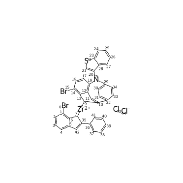 Brc1cccc2c1[CH]([Zr+2][CH]1c3cc4c1c(Br)ccc4n(-c1csc4ccccc14)c1ccc3cc1)C(c1ccccc1)=C2.[Cl-].[Cl-]